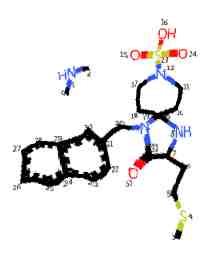 CNC.CSCCC1NC2(CCN(S(=O)(=O)O)CC2)N(Cc2ccc3ccccc3c2)C1=O